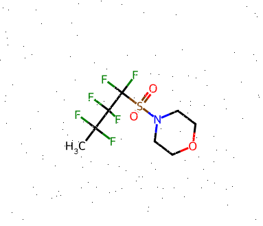 CC(F)(F)C(F)(F)C(F)(F)S(=O)(=O)N1CCOCC1